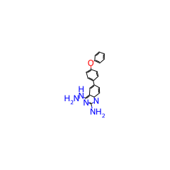 NNc1nc(N)nc2ccc(-c3ccc(Oc4ccccc4)cc3)cc12